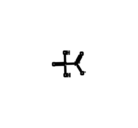 O=[N+]([O-])P(=O)(O)O